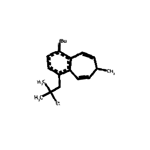 CCC(C)c1ccc(CC(C)(C)CC)c2c1C=CC(C)C=C2